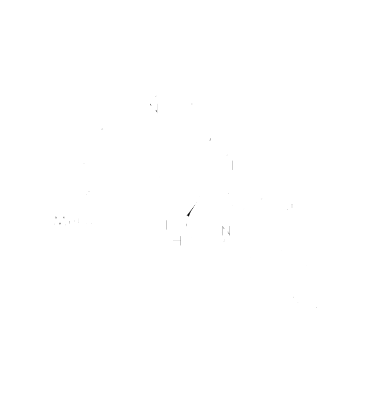 C=CC1C[N+]2(C)CCC1C[C@@H]2[C@@H](O)c1ccnc2ccc(OC)cc12